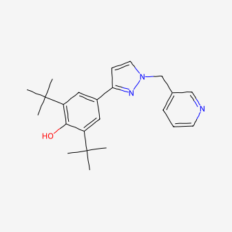 CC(C)(C)c1cc(-c2ccn(Cc3cccnc3)n2)cc(C(C)(C)C)c1O